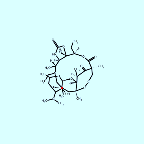 CC[C@H]1OC(=O)[C@@]2(C)CCO[C@@](C)(C[C@@H](C)CN(CC)[C@H](C)[C@H]3NC(=O)O[C@@]31C)[C@H](O[C@@H]1OC(C)CC(N(C)C)C1O)[C@@H](C)C2=O